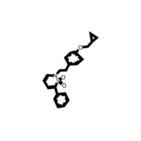 O=S1(=O)C(c2ccccc2)=CC=CN1CCc1ccc(OCC2CC2)cc1